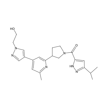 Cc1cc(-c2cnn(CCO)c2)cc(C2CCN(C(=O)c3cc(C(C)C)n[nH]3)C2)n1